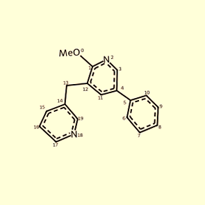 COc1ncc(-c2ccccc2)cc1Cc1cccnc1